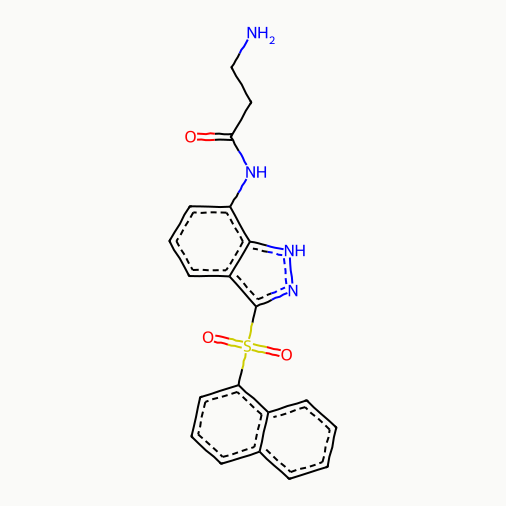 NCCC(=O)Nc1cccc2c(S(=O)(=O)c3cccc4ccccc34)n[nH]c12